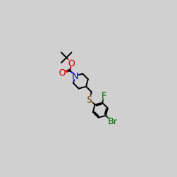 CC(C)(C)OC(=O)N1CCC(CSc2ccc(Br)cc2F)CC1